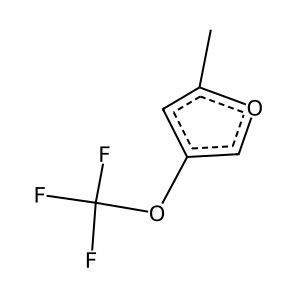 Cc1cc(OC(F)(F)F)co1